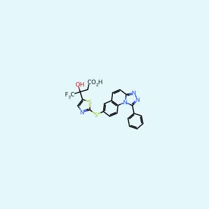 O=C(O)CC(O)(c1cnc(Sc2ccc3c(ccc4nnc(-c5ccccc5)n43)c2)s1)C(F)(F)F